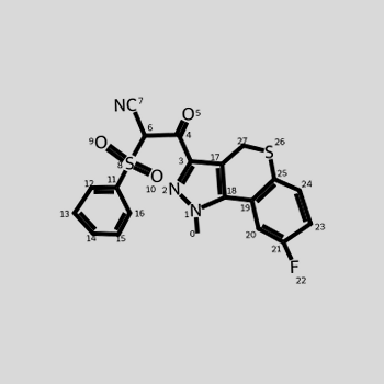 Cn1nc(C(=O)C(C#N)S(=O)(=O)c2ccccc2)c2c1-c1cc(F)ccc1SC2